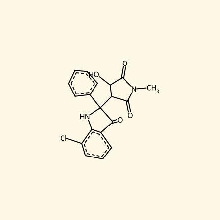 CN1C(=O)C(O)C(C2(c3ccccc3)Nc3c(Cl)cccc3C2=O)C1=O